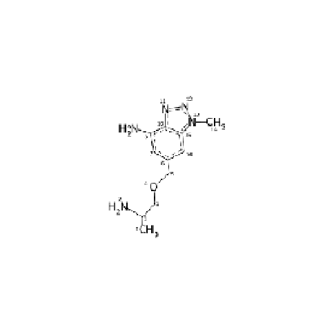 CC(N)COCc1cc(N)c2nnn(C)c2c1